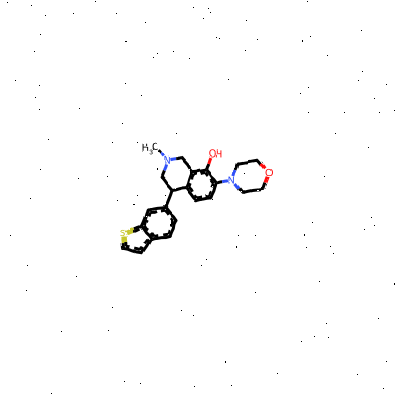 CN1Cc2c(ccc(N3CCOCC3)c2O)C(c2ccc3ccsc3c2)C1